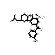 CN(C)CC1CCc2[nH]c3ccc(C(=O)c4cccc(Cl)c4)cc3c2C1.CS(=O)(=O)O